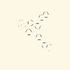 CC1(C)CCC(C)(C)c2cc(-c3ccc(N(c4ccc(-c5ccc6ccccc6c5)cc4)c4cccc5c4-c4ccccc4C54C5CC6CC7CC4C75C6)cc3)ccc21